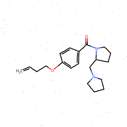 C=CCCOc1ccc(C(=O)N2CCCC2CN2CCCC2)cc1